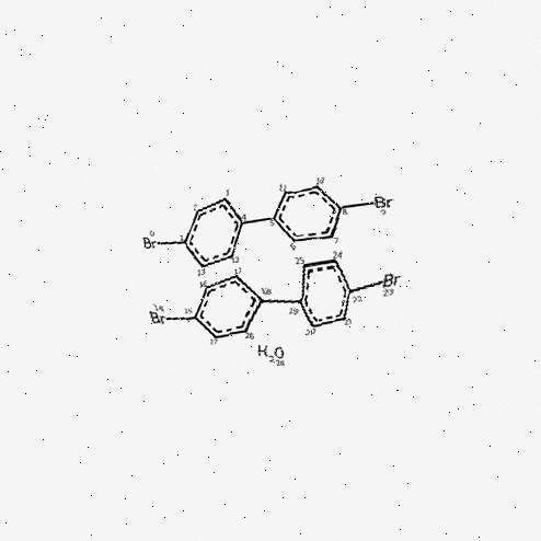 Brc1ccc(-c2ccc(Br)cc2)cc1.Brc1ccc(-c2ccc(Br)cc2)cc1.O